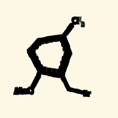 COc1ccc(C(F)(F)F)cc1CBr